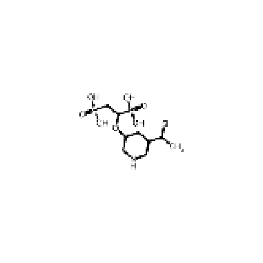 CC(S)C1CNCC(OC(CP(=O)(O)O)P(=O)(O)O)C1